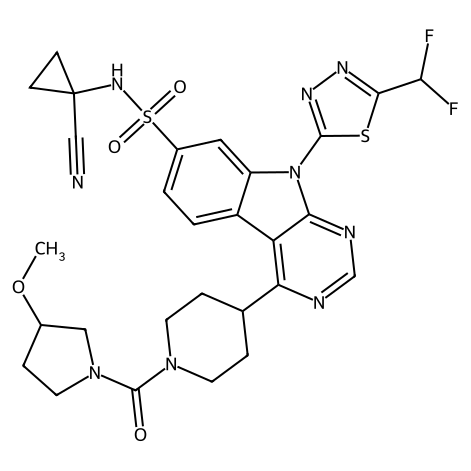 COC1CCN(C(=O)N2CCC(c3ncnc4c3c3ccc(S(=O)(=O)NC5(C#N)CC5)cc3n4-c3nnc(C(F)F)s3)CC2)C1